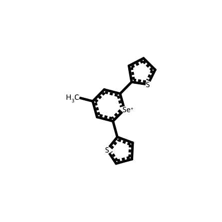 Cc1cc(-c2cccs2)[se+]c(-c2cccs2)c1